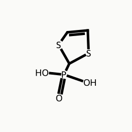 O=P(O)(O)C1SC=CS1